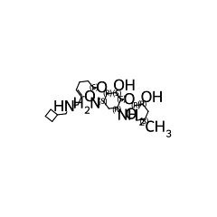 C[C@@H]1CO[C@H](O[C@@H]2[C@@H](O)[C@H](O[C@@H]3CCC=C(CNCC4CCC4)O3)[C@@H](N)C[C@H]2N)[C@H](O)C1